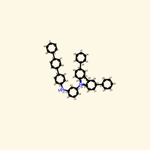 c1ccc(-c2ccc(-c3ccc(Nc4cccc(-n5c6ccc(-c7ccccc7)cc6c6cc(-c7ccccc7)ccc65)c4)cc3)cc2)cc1